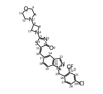 O=C1N=C(N2CC(N3CCOCC3)C2)SC1=Cc1ccc2c(cnn2Cc2ccc(Cl)cc2C(F)(F)F)c1